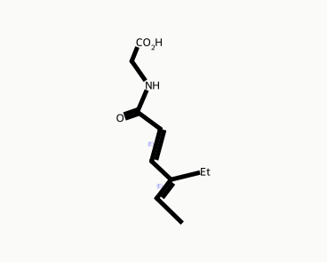 C/C=C(/C=C/C(=O)NCC(=O)O)CC